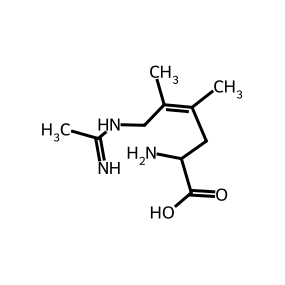 CC(=N)NC/C(C)=C(/C)CC(N)C(=O)O